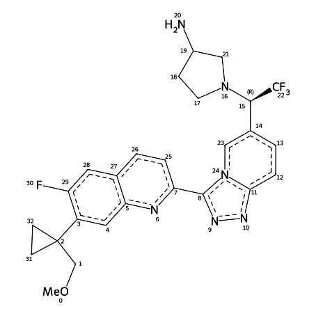 COCC1(c2cc3nc(-c4nnc5ccc([C@@H](N6CCC(N)C6)C(F)(F)F)cn45)ccc3cc2F)CC1